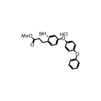 COC(=O)[C@H](N)Cc1ccc(Oc2ccc(Oc3ccccc3)cc2)cc1.Cl